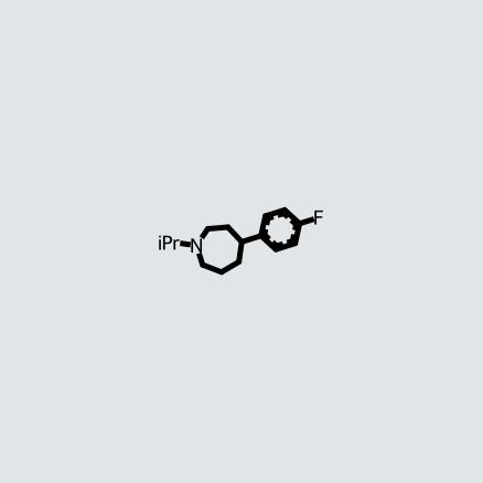 CC(C)N1CCCC(c2ccc(F)cc2)CC1